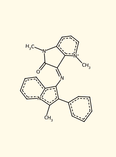 Cc1c(-c2ccccc2)c(/N=C2\C(=O)N(C)c3ccc[n+](C)c32)c2ccccn12